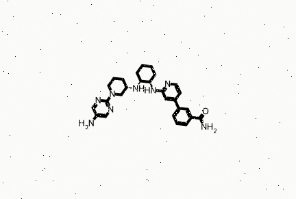 NC(=O)c1cccc(-c2ccnc(N[C@@H]3CCCC[C@H]3N[C@H]3CCCN(c4ncc(N)cn4)C3)c2)c1